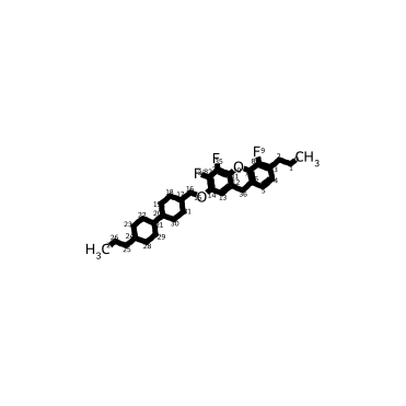 CCCc1ccc2c(c1F)Oc1c(cc(OCC3CCC(C4CCC(CCC)CC4)CC3)c(F)c1F)C2